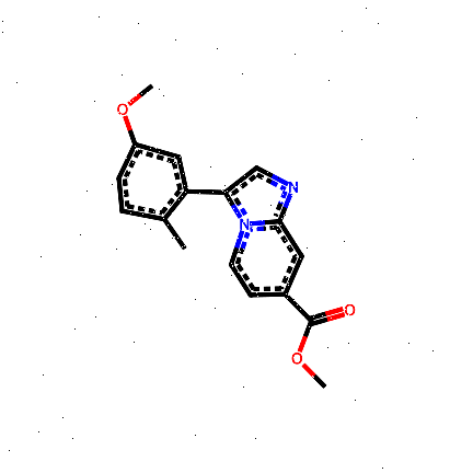 COC(=O)c1ccn2c(-c3cc(OC)ccc3C)cnc2c1